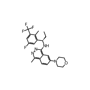 CC[C@@H](Nc1nnc(C)c2ccc(N3CCOCC3)cc12)c1cc(F)cc(C(F)(F)F)c1C